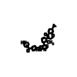 Cc1c(-c2ncnc3[nH]c(-c4ccc(C(=O)N5CCNCC5)cc4)cc23)cccc1N1CCOc2cc(C3CC3)ccc2C1=O